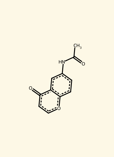 CC(=O)Nc1ccc2occc(=O)c2c1